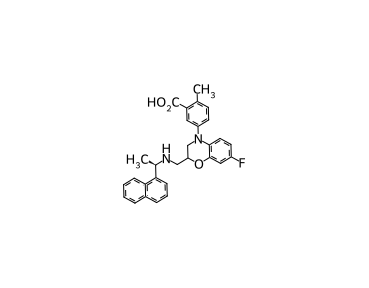 Cc1ccc(N2CC(CN[C@H](C)c3cccc4ccccc34)Oc3cc(F)ccc32)cc1C(=O)O